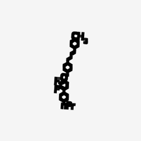 CCCC1CCC(c2ccc(OCC3CCC(CC/C=C/C4CCC(C)CC4)CC3)c(F)c2F)CC1